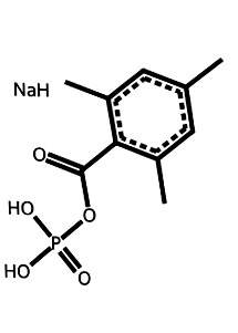 Cc1cc(C)c(C(=O)OP(=O)(O)O)c(C)c1.[NaH]